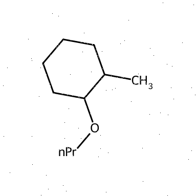 CCCOC1CCCCC1C